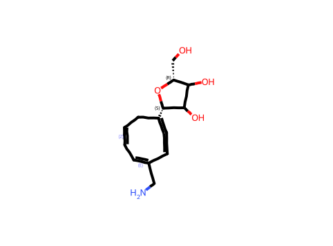 NC/C1=C/C=C\CC([C@@H]2O[C@H](CO)C(O)C2O)=C=C1